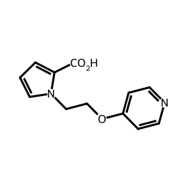 O=C(O)c1cccn1CCOc1ccncc1